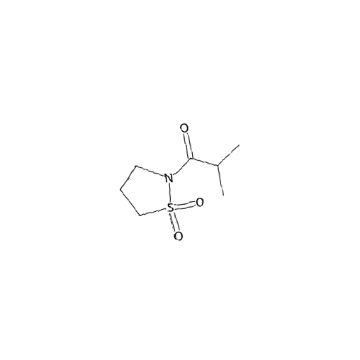 CC(C)C(=O)N1CCCS1(=O)=O